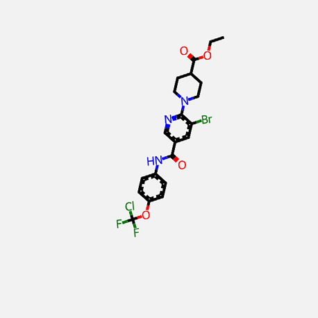 CCOC(=O)C1CCN(c2ncc(C(=O)Nc3ccc(OC(F)(F)Cl)cc3)cc2Br)CC1